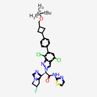 CC(C)(C)[Si](C)(C)OCC1CC(c2ccc(-c3cc(Cl)c4cn([C@@H](C(=O)Nc5nccs5)c5ncn6c5C[C@@H](F)C6)nc4c3Cl)cc2)C1